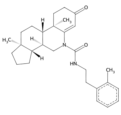 Cc1ccccc1CCNC(=O)N1C[C@H]2[C@@H]3CCC[C@@]3(C)CC[C@@H]2[C@@]2(C)CCC(=O)C=C12